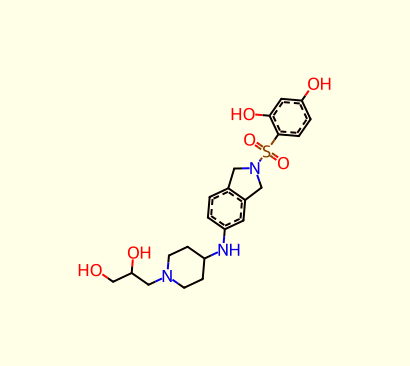 O=S(=O)(c1ccc(O)cc1O)N1Cc2ccc(NC3CCN(CC(O)CO)CC3)cc2C1